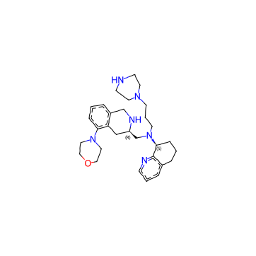 c1cnc2c(c1)CCC[C@@H]2N(CCCN1CCNCC1)C[C@H]1Cc2c(cccc2N2CCOCC2)CN1